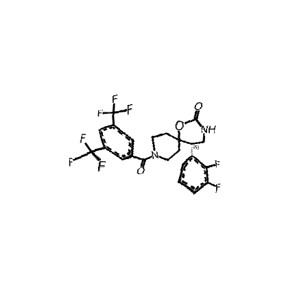 O=C1NC[C@H](c2cccc(F)c2F)C2(CCN(C(=O)c3cc(C(F)(F)F)cc(C(F)(F)F)c3)CC2)O1